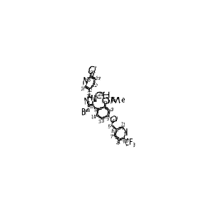 COc1cc(OCc2ccc(C(F)(F)F)nc2)ccc1-c1c(Br)nc(-c2ccc(Cl)nc2)n1C